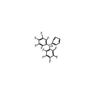 Fc1c(F)c(F)[c]([Ga]([c]2ccccc2)[c]2c(F)c(F)c(F)c(F)c2F)c(F)c1F